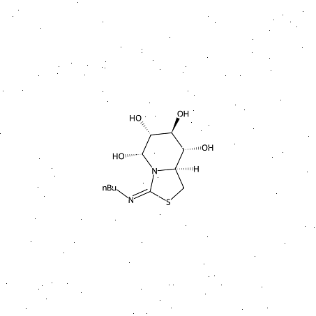 CCCC/N=C1/SC[C@@H]2[C@@H](O)[C@H](O)[C@@H](O)[C@@H](O)N12